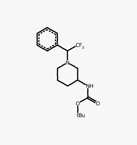 CC(C)(C)OC(=O)NC1CCCN(C(c2ccccc2)C(F)(F)F)C1